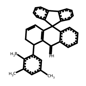 Bc1c(C)cc(C)cc1C1CC=CC2=C1C(=P)c1ccccc1C21c2ccccc2-c2ccccc21